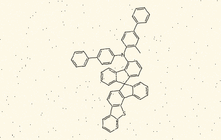 Cc1cc(-c2ccccc2)ccc1N(c1ccc(-c2ccccc2)cc1)c1cccc2c1-c1ccccc1C21c2ccccc2-c2c1ccc1c2sc2ccccc21